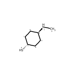 CN[C@H]1CC[C@H](S)CC1